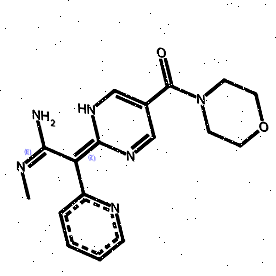 C/N=C(N)\C(=C1\N=CC(C(=O)N2CCOCC2)=CN1)c1ccccn1